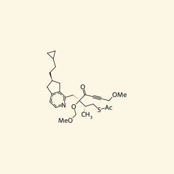 COCC#CC(=O)[C@](Cc1nccc2c1C[C@H](CCC1CC1)C2)(OCOC)[C@@H](C)CSC(C)=O